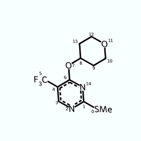 CSc1ncc(C(F)(F)F)c(OC2CCOCC2)n1